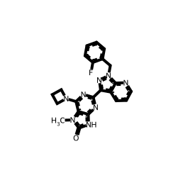 Cn1c(=O)[nH]c2nc(-c3nn(Cc4ccccc4F)c4ncccc34)nc(N3CCC3)c21